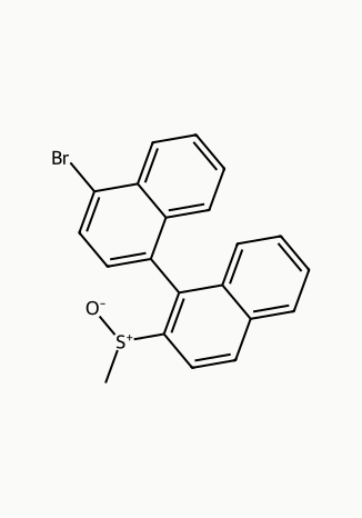 C[S+]([O-])c1ccc2ccccc2c1-c1ccc(Br)c2ccccc12